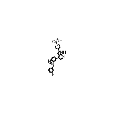 CNC(=O)N1CC=C(c2cc3c(-c4ccc5ncn(Cc6cccc(F)c6)c5c4)ccnc3[nH]2)CC1